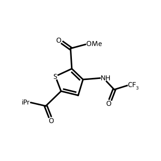 COC(=O)c1sc(C(=O)C(C)C)cc1NC(=O)C(F)(F)F